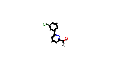 CC(=O)c1cccc(-c2cccc(Cl)c2)n1